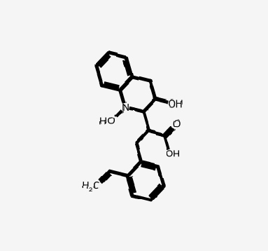 C=Cc1ccccc1CC(C(=O)O)C1C(O)Cc2ccccc2N1O